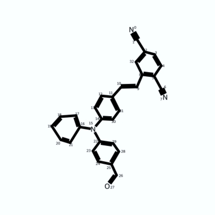 N#Cc1ccc(C#N)c(C=Cc2ccc(N(c3ccccc3)c3ccc(C=O)cc3)cc2)c1